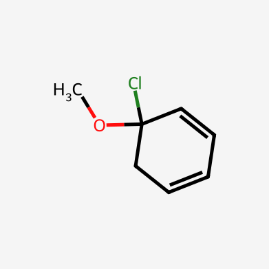 COC1(Cl)C=CC=CC1